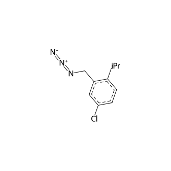 CC(C)c1ccc(Cl)cc1CN=[N+]=[N-]